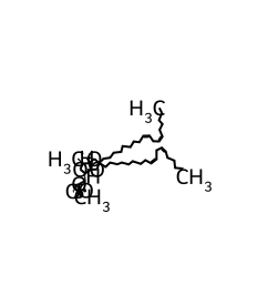 CCCCC/C=C\C/C=C\CCCCCCCCC1(CCCCCCCC/C=C\C/C=C\CCCCC)O[C@@H]2[C@H](O1)[C@@H](COS(C)(=O)=O)O[C@H]2C